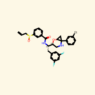 C=CC[S+]([O-])c1cccc(C(=O)N[C@@H](Cc2cc(F)cc(F)c2)[C@@H](O)CNC2(c3cccc(CC)c3)CC2)c1